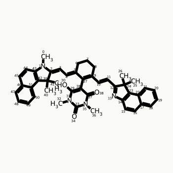 CN1/C(=C/C=C2\CCCC(/C=C/C3=Nc4ccc5ccccc5c4C3(C)C)=C2c2c(O)n(C)c(=O)n(C)c2=O)C(C)(C)c2c1ccc1ccccc21